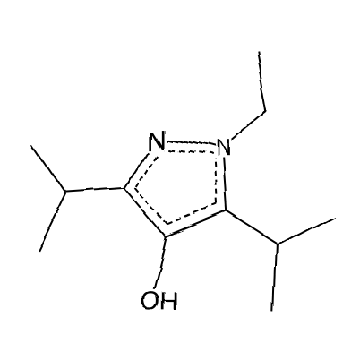 CCn1nc(C(C)C)c(O)c1C(C)C